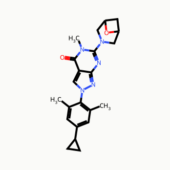 Cc1cc(C2CC2)cc(C)c1-n1cc2c(=O)n(C)c(N3CC4CC(C3)O4)nc2n1